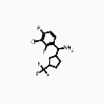 NC(c1ccc(F)c(Cl)c1F)C1CCC(C(F)(F)F)C1